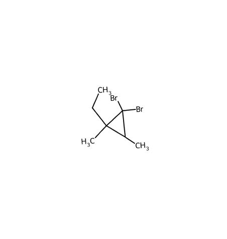 CCC1(C)C(C)C1(Br)Br